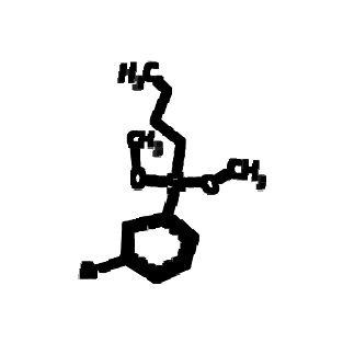 CCCC[Si](OC)(OC)c1cccc(Br)c1